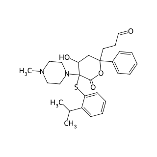 CC(C)c1ccccc1SC1(N2CCN(C)CC2)C(=O)OC(CCC=O)(c2ccccc2)CC1O